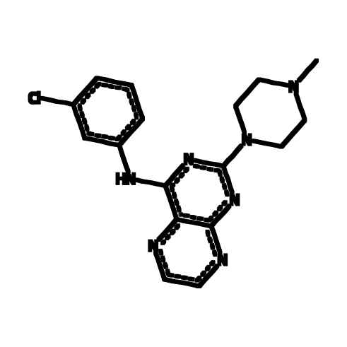 CN1CCN(c2nc(Nc3cccc(Cl)c3)c3nccnc3n2)CC1